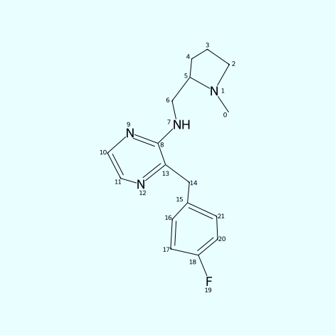 CN1CCCC1CNc1nccnc1Cc1ccc(F)cc1